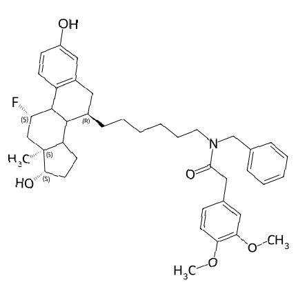 COc1ccc(CC(=O)N(CCCCCC[C@@H]2Cc3cc(O)ccc3C3C2C2CC[C@H](O)[C@@]2(C)C[C@@H]3F)Cc2ccccc2)cc1OC